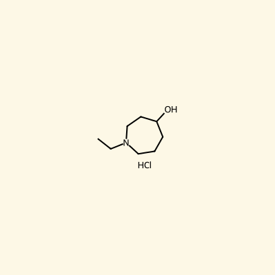 CCN1CCCC(O)CC1.Cl